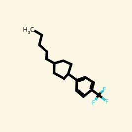 CCCCCC1CCC(c2ccc(C(F)(F)F)cc2)CC1